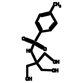 Cc1ccc(S(=O)(=O)NC(CO)(CO)CO)cc1